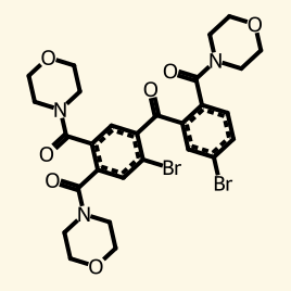 O=C(c1cc(C(=O)N2CCOCC2)c(C(=O)N2CCOCC2)cc1Br)c1cc(Br)ccc1C(=O)N1CCOCC1